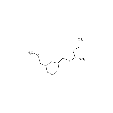 CCCC(C)OCC1CCCC(COC)C1